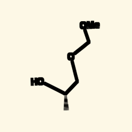 COCOC[C@H](C)O